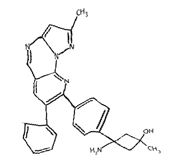 Cc1cc2ncc3cc(-c4[c]cccc4)c(-c4ccc(C5(N)CC(C)(O)C5)cc4)nc3n2n1